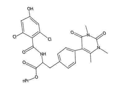 CCCOC(=O)C(Cc1ccc(-c2c(C)n(C)c(=O)n(C)c2=O)cc1)NC(=O)c1c(Cl)cc(O)cc1Cl